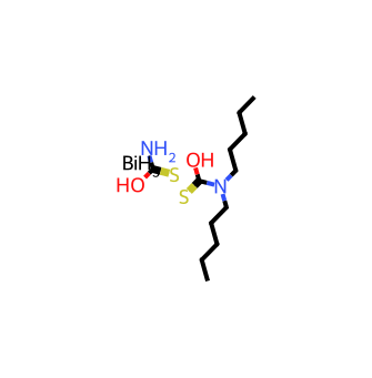 CCCCCN(CCCCC)C(O)=S.NC(O)=S.[BiH3]